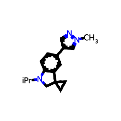 CC(C)N1CC2(CC2)c2cc(-c3cnn(C)c3)ccc21